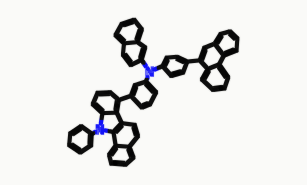 c1ccc(-n2c3cccc(-c4cccc(N(c5ccc(-c6cc7ccccc7c7ccccc67)cc5)c5ccc6ccccc6c5)c4)c3c3ccc4ccccc4c32)cc1